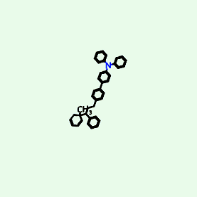 CC1(C(CCc2ccc(-c3ccc(N(c4ccccc4)c4ccccc4)cc3)cc2)c2ccccc2)C=CC=CC1